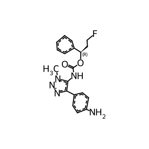 Cn1nnc(-c2ccc(N)cc2)c1NC(=O)O[C@H](CCF)c1ccccc1